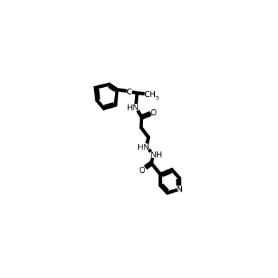 CC(Cc1ccccc1)NC(=O)CCNNC(=O)c1ccncc1